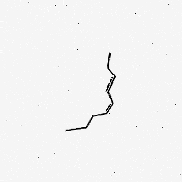 CC/C=C/C=[C]\CCC